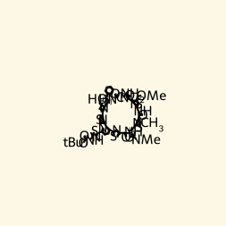 CNC(=O)C[C@@H]1NC(=O)c2csc(n2)-c2ccc(-c3nc(NC(=O)OC(C)(C)C)cs3)nc2-c2csc(n2)-c2csc(n2)[C@H]([C@@H](O)c2ccccc2)NC(=O)CN(N)C(=O)c2nc(sc2COC)NC(=O)c2nc1sc2C